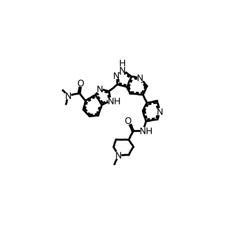 CN1CCC(C(=O)Nc2cncc(-c3cnc4[nH]nc(-c5nc6c(C(=O)N(C)C)cccc6[nH]5)c4c3)c2)CC1